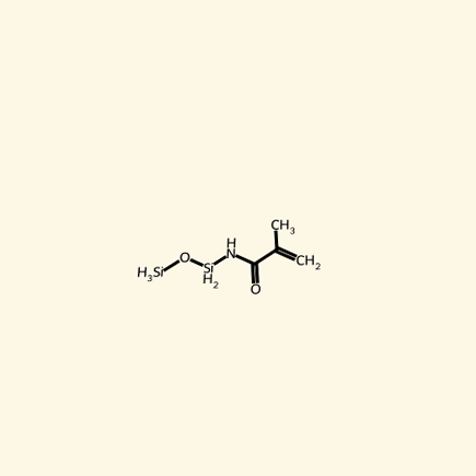 C=C(C)C(=O)N[SiH2]O[SiH3]